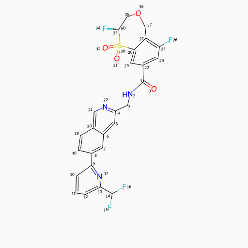 O=C(NCc1cc2cc(-c3cccc(C(F)F)n3)ccc2cn1)c1cc(F)c2c(c1)S(=O)(=O)[C@@H](F)COC2